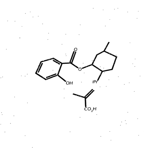 C=C(C)C(=O)O.CC1CCC(C(C)C)C(OC(=O)c2ccccc2O)C1